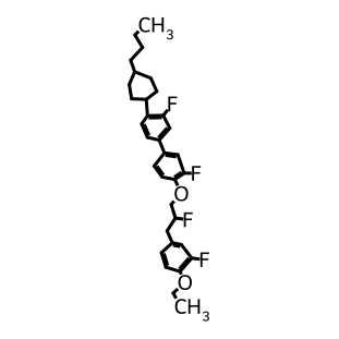 CCCCC1CCC(c2ccc(-c3ccc(OCC(F)Cc4ccc(OCC)c(F)c4)c(F)c3)cc2F)CC1